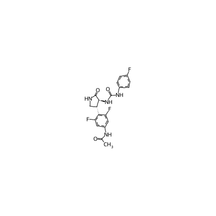 CC(=O)Nc1cc(F)c([C@@H]2CNC(=O)[C@H]2NC(=O)Nc2ccc(F)cc2)c(F)c1